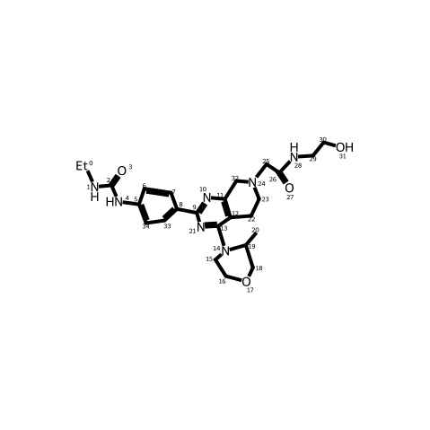 CCNC(=O)Nc1ccc(-c2nc3c(c(N4CCOCC4C)n2)CCN(CC(=O)NCCO)C3)cc1